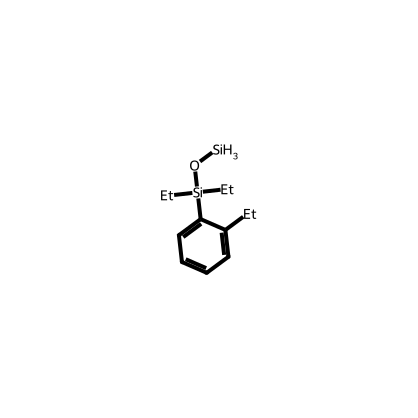 CCc1ccccc1[Si](CC)(CC)O[SiH3]